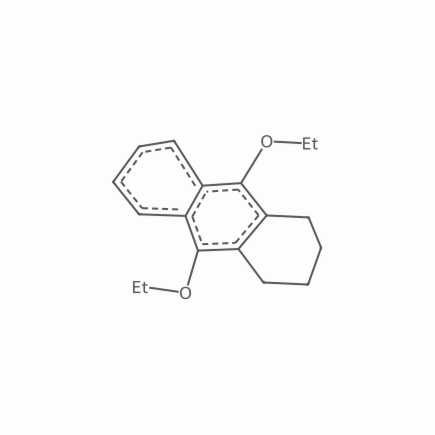 CCOc1c2c(c(OCC)c3ccccc13)CCCC2